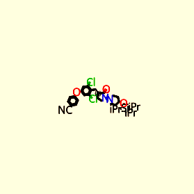 CC(C)[Si](OC1CCN(N2CC[C@@H](Cc3c(Cl)cc(Oc4ccc(C#N)cc4)cc3Cl)C2=O)CC1)(C(C)C)C(C)C